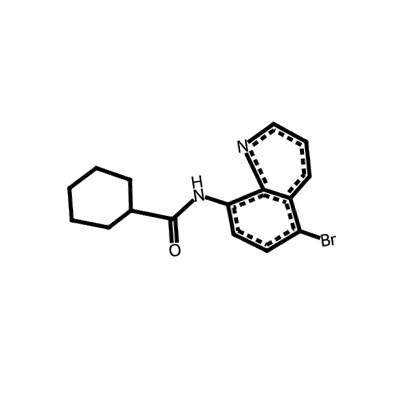 O=C(Nc1ccc(Br)c2cccnc12)C1CCCCC1